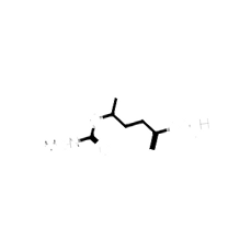 C=C(CCC(C)OC(=O)NC)C(=O)O